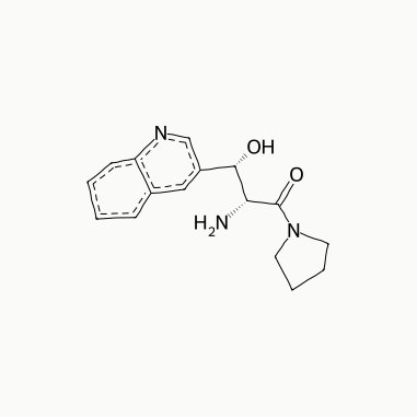 N[C@@H](C(=O)N1CCCC1)[C@@H](O)c1cnc2ccccc2c1